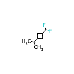 C[C](C)C1CC(C(F)F)C1